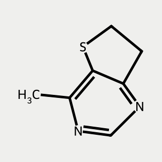 Cc1ncnc2c1SCC2